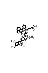 CSCC[C@@H](NC(=O)[C@H](N)Cc1c(C)cc(O)cc1C)C(=O)NCC(=O)N(CCCCCC(=O)O)[C@H](C(N)=O)C(C1CCCCC1)C1CCCCC1